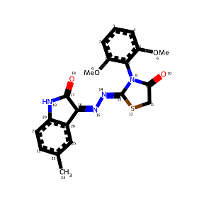 COc1cccc(OC)c1N1C(=O)CSC1=NN=C1C(=O)Nc2ccc(C)cc21